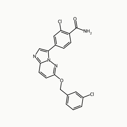 NC(=O)c1ccc(-c2cnc3ccc(OCc4cccc(Cl)c4)nn23)cc1Cl